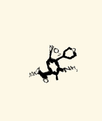 COC(=O)c1cc([N+](=O)[O-])c(C2CCOCC2)c(N)c1C